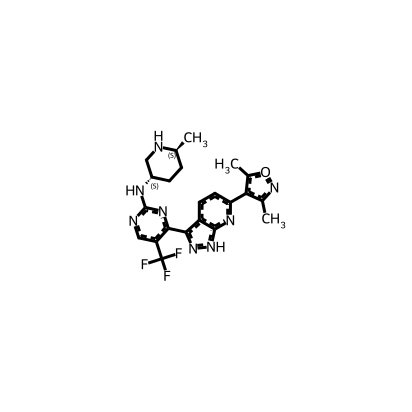 Cc1noc(C)c1-c1ccc2c(-c3nc(N[C@H]4CC[C@H](C)NC4)ncc3C(F)(F)F)n[nH]c2n1